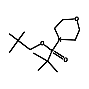 CC(C)(C)COP(=O)(N1CCOCC1)C(C)(C)C